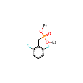 CCOP(=O)(Cc1c(F)cccc1F)OCC